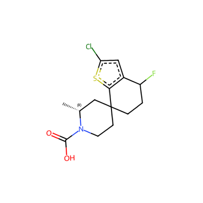 C[C@@H]1CC2(CCC(F)c3cc(Cl)sc32)CCN1C(=O)O